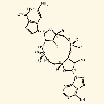 Nc1nc2c(ncn2[C@@H]2O[C@@H]3COP(=O)(O)OC4C(O)[C@H](n5cnc6c(N)ncnc65)O[C@@H]4CNS(=O)(=O)NC2C3O)c(=O)[nH]1